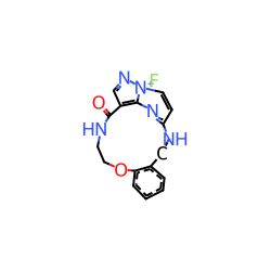 O=C1NCCOc2ccccc2CNC2=NC3=C1C=N[N+]3(F)C=C2